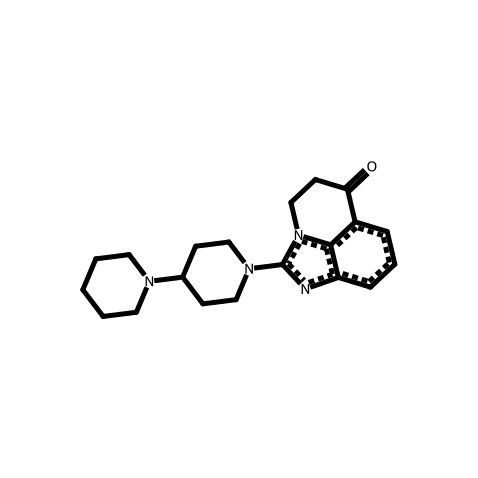 O=C1CCn2c(N3CCC(N4CCCCC4)CC3)nc3cccc1c32